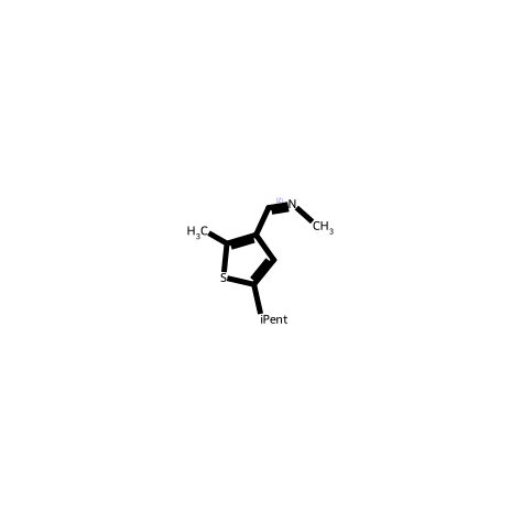 CCCC(C)c1cc(/C=N\C)c(C)s1